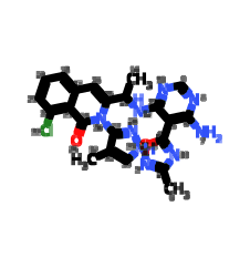 Cc1noc(-c2c(N)ncnc2NC(C)c2cc3cccc(Cl)c3c(=O)n2-c2n[nH]cc2C)n1